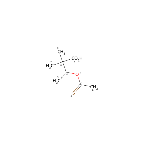 CC(=S)O[C@H](C)C(C)(C)C(=O)O